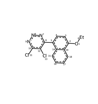 CCOc1ccc(-c2nnnc(Cl)c2Cl)c2ccccc12